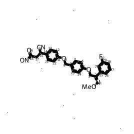 CO/N=C(\COc1ccc(COc2ccc(C(C#N)CC(=O)N=O)cc2)cc1)c1cccc(F)c1